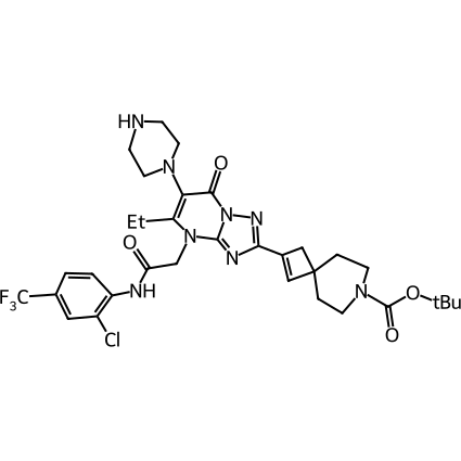 CCc1c(N2CCNCC2)c(=O)n2nc(C3=CC4(CCN(C(=O)OC(C)(C)C)CC4)C3)nc2n1CC(=O)Nc1ccc(C(F)(F)F)cc1Cl